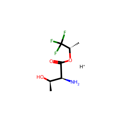 C[C@H](OC(=O)[C@@H](N)[C@@H](C)O)C(F)(F)F.[H+]